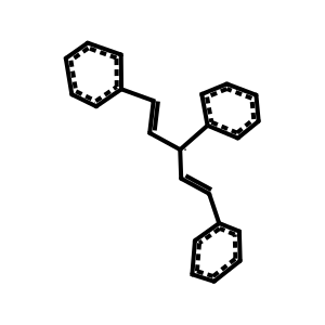 C(=Cc1ccccc1)[C](C=Cc1ccccc1)c1ccccc1